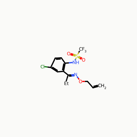 C=CCON=C(CC)c1cc(Cl)ccc1NS(=O)(=O)C(F)(F)F